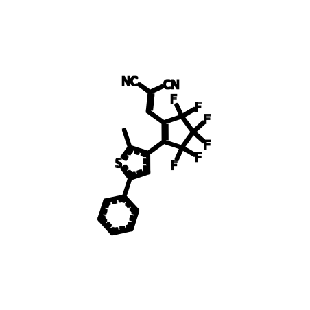 Cc1sc(-c2ccccc2)cc1C1=C(C=C(C#N)C#N)C(F)(F)C(F)(F)C1(F)F